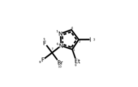 CCc1c(I)cnn1C(F)(F)Br